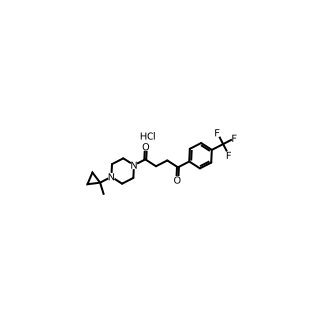 CC1(N2CCN(C(=O)CCC(=O)c3ccc(C(F)(F)F)cc3)CC2)CC1.Cl